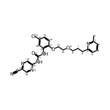 Cc1cccc(CCCOCCOc2ccc(Cl)cc2NC(=O)Nc2cnc(C#N)cn2)n1